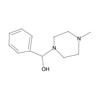 CN1CCN(C(O)c2ccccc2)CC1